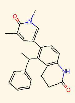 Cc1cc(-c2ccc3c(c2C(C)c2ccccc2)CCC(=O)N3)cn(C)c1=O